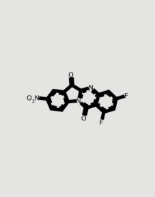 O=C1c2cc([N+](=O)[O-])ccc2-n2c1nc1cc(F)cc(F)c1c2=O